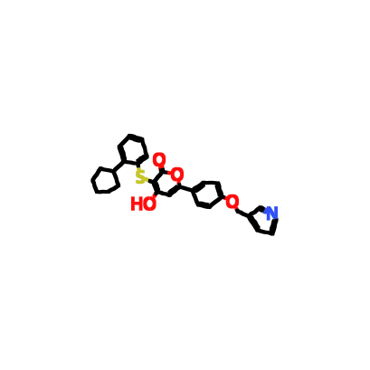 O=c1oc(-c2ccc(OCc3cccnc3)cc2)cc(O)c1Sc1ccccc1C1CCCCC1